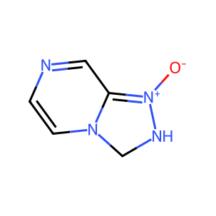 [O-][N+]1=C2C=NC=CN2CN1